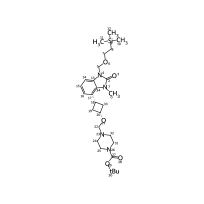 Cn1c(=O)n(COCC[Si](C)(C)C)c2cccc([C@H]3C[C@@H](OCN4CCN(C(=O)OC(C)(C)C)CC4)C3)c21